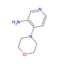 Nc1cnccc1N1CCOCC1